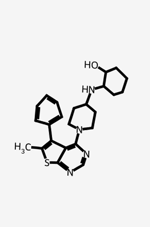 Cc1sc2ncnc(N3CCC(NC4CCCCC4O)CC3)c2c1-c1ccccc1